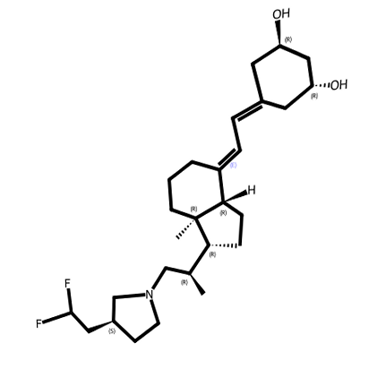 C[C@@H](CN1CC[C@@H](CC(F)F)C1)[C@H]1CC[C@H]2/C(=C/C=C3C[C@@H](O)C[C@H](O)C3)CCC[C@]12C